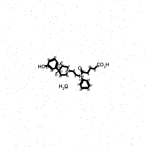 C[C@H]1CN(CCN(C(=O)CCCC(=O)O)c2ccccc2)CC[C@]1(C)c1cccc(O)c1.O